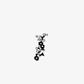 C[C@@H](C1CC1)N(Cc1ccccc1)C(=O)CN1C(=O)OC2(CCc3cc(NC(=O)[C@@H](N)CO)ccc32)C1=O